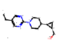 CCc1cnc(N2CCC([C@H]3C[C@H]3CO)CC2)nc1